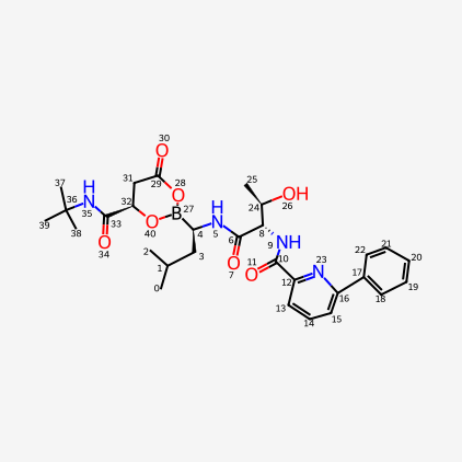 CC(C)C[C@H](NC(=O)[C@@H](NC(=O)c1cccc(-c2ccccc2)n1)[C@@H](C)O)B1OC(=O)C[C@H](C(=O)NC(C)(C)C)O1